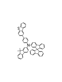 CC1(C)c2ccccc2-c2ccc(N(c3ccc(-c4ccc5sc6ccccc6c5c4)cc3)c3ccc4c(c3)C3(c5ccccc5-c5ccccc53)c3ccccc3-4)cc21